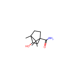 CC12CCC(C(N)=O)([CH]C1O)C2(C)C